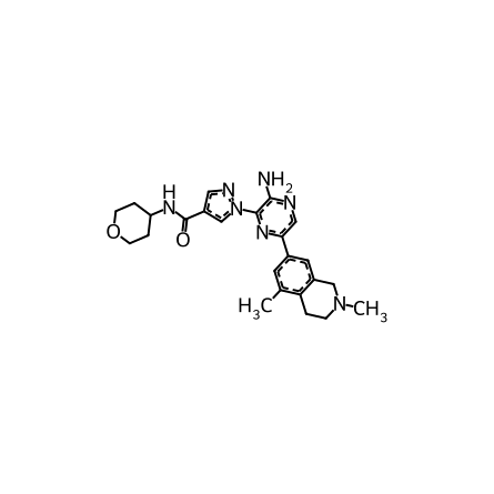 Cc1cc(-c2cnc(N)c(-n3cc(C(=O)NC4CCOCC4)cn3)n2)cc2c1CCN(C)C2